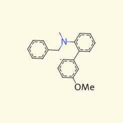 COc1cc[c]c(-c2ccccc2N(C)Cc2ccccc2)c1